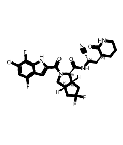 N#C[C@H](C[C@@H]1CCCNC1=O)NC(=O)[C@H]1[C@@H]2CC(F)(F)C[C@@H]2CN1C(=O)c1cc2c(F)cc(Cl)c(F)c2[nH]1